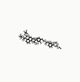 CCOC(=O)C[C@H](NI)c1cccc(NC(=O)OCCc2ccc(C(Nc3ccc4c(N(C(=O)OC(C)(C)C)C(=O)OC(C)(C)C)cccc4c3)C(=O)O)cc2C)c1